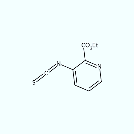 CCOC(=O)c1ncccc1N=C=S